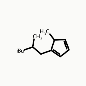 CCC(C)C(C)CC1=CC=CC1C